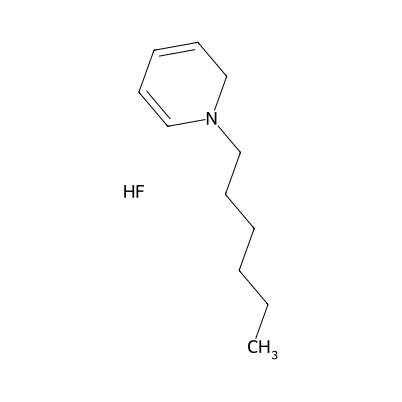 CCCCCCN1C=CC=CC1.F